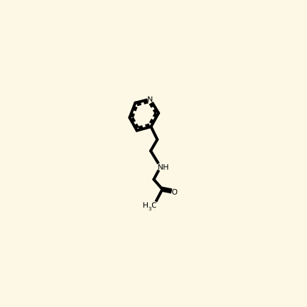 CC(=O)CNCCc1cccnc1